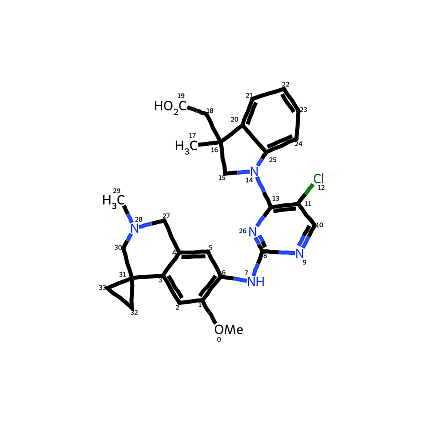 COc1cc2c(cc1Nc1ncc(Cl)c(N3CC(C)(CC(=O)O)c4ccccc43)n1)CN(C)CC21CC1